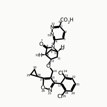 O=C(O)c1ccc(N2C(=O)[C@@H]3C[C@H]2C[C@H]3OCc2c(-c3c(Cl)cccc3Cl)noc2C2CC2)nn1